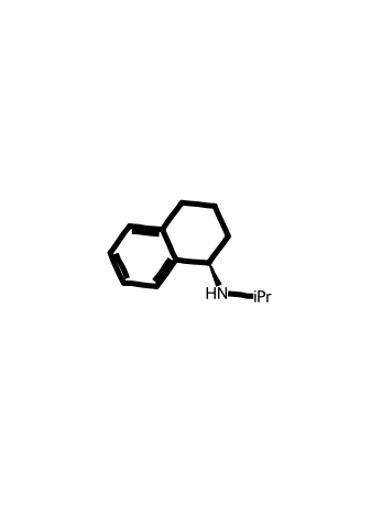 CC(C)N[C@@H]1CCCc2ccccc21